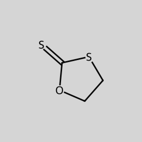 S=C1OCCS1